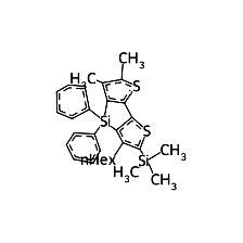 CCCCCCc1c([Si](C)(C)C)sc2c1[Si](c1ccccc1)(c1ccccc1)c1c-2sc(C)c1C